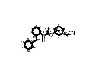 N#CC[N+]12CCC(CC1)C(OC(=O)Nc1ccccc1Cc1ccccc1)C2